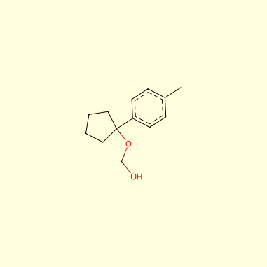 Cc1ccc(C2(OCO)CCCC2)cc1